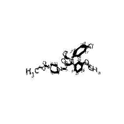 CCOC(=O)N1CCN(C[C@@H]2OC(=O)N(c3ccc(Cl)cc3)[C@H]2c2cccc(OC)c2)CC1